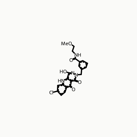 COCCNC(=O)c1cccc(Cn2nc(O)c3[nH]c4cc(Cl)ccc4c(=O)c3c2=O)c1